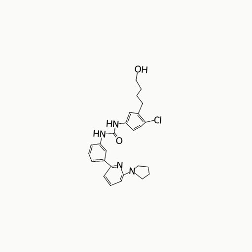 O=C(Nc1cccc(-c2cccc(N3CCCC3)n2)c1)Nc1ccc(Cl)c(CCCCO)c1